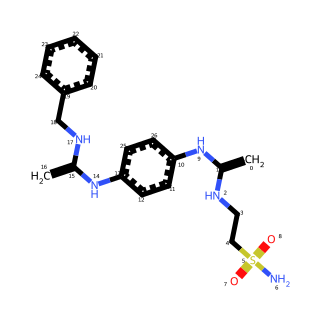 C=C(NCCS(N)(=O)=O)Nc1ccc(NC(=C)NCc2ccccc2)cc1